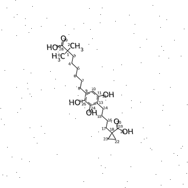 CC(C)(CCCCCCc1cc(O)c(CCCCC2(C(=O)O)CC2)c(O)c1O)C(=O)O